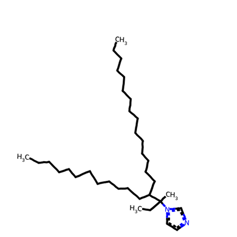 CCCCCCCCCCCCCCCC(CCCCCCCCCCCC)C(C)(CC)n1ccnc1